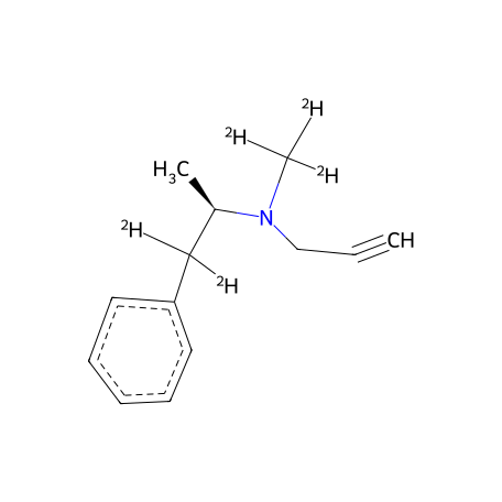 [2H]C([2H])(c1ccccc1)[C@@H](C)N(CC#C)C([2H])([2H])[2H]